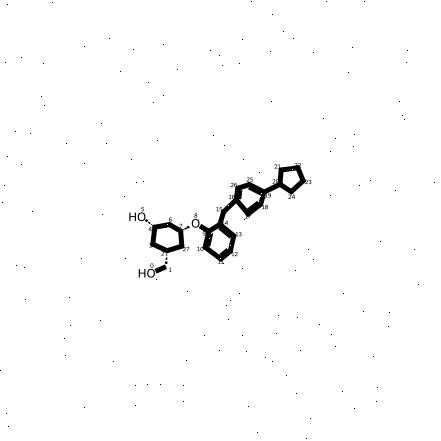 OC[C@@H]1C[C@H](O)C[C@H](Oc2ccccc2Cc2ccc(C3CCCC3)cc2)C1